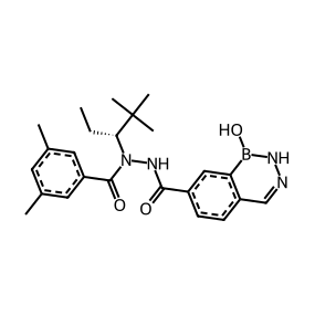 CC[C@@H](N(NC(=O)c1ccc2c(c1)B(O)NN=C2)C(=O)c1cc(C)cc(C)c1)C(C)(C)C